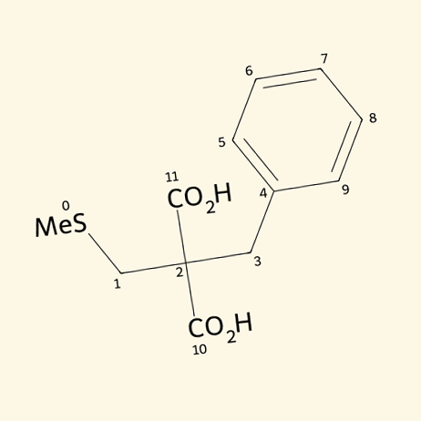 CSCC(Cc1ccccc1)(C(=O)O)C(=O)O